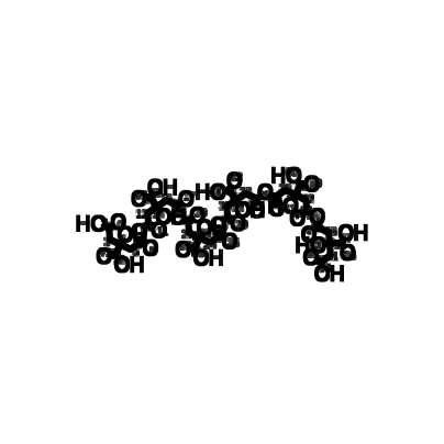 O=C(O)CC(O)(CC(=O)OC(=O)CC(O)(CC(=O)OC(=O)CC(O)(CC(=O)OC(=O)CC(O)(CC(=O)OC(=O)CC(O)(CC(=O)OC(=O)CC(O)(CC(=O)O)C(=O)O)C(=O)O)C(=O)O)C(=O)O)C(=O)O)C(=O)O